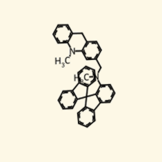 CN(Cc1ccc2c(c1)N(C)c1ccccc1C2)c1cccc2c1C1(c3ccccc3-c3ccccc31)c1ccccc1-2